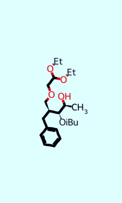 CCOC(COC[C@H](Cc1ccccc1)[C@@H](OCC(C)C)[C@H](C)O)OCC